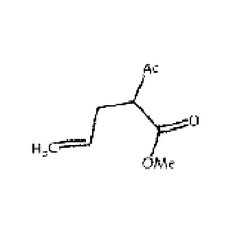 C=CCC(C(C)=O)C(=O)OC